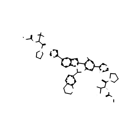 COC(=O)NC(C(=O)N1CCC[C@H]1c1ncc(-c2ccc3c(c2)cc2n3C(c3ccc4c(c3)OCCC4)Oc3cc(-c4cnc([C@@H]5CCCN5C(=O)[C@@H](NC(=O)OC)C(C)C)[nH]4)cc(F)c3-2)[nH]1)C(C)(C)F